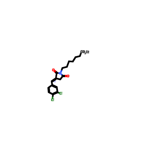 CCOC(=O)CCCCCCN1C(=O)C/C(=C\c2ccc(Cl)c(Cl)c2)C1=O